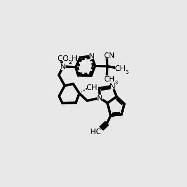 C#CC1=CC=C2N=CN(C[C@@]3(C)CCCC(CN(C(=O)O)c4ccc(C(C)(C)C#N)nc4)C3)C12